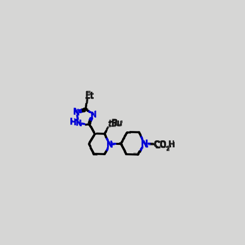 CCc1n[nH]c(C2CCCN(C3CCN(C(=O)O)CC3)C2C(C)(C)C)n1